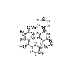 COc1nnc(C(O)c2ccc(F)c(-c3ncnc4cc(N5CCOCC5)ccc34)c2)c(F)c1F